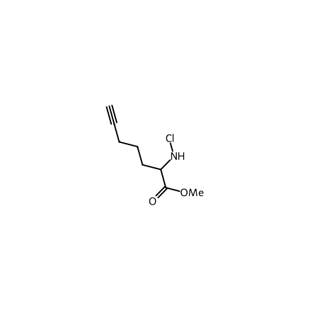 C#CCCCC(NCl)C(=O)OC